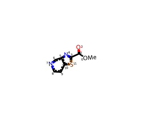 COC(=O)c1nc2cnccc2s1